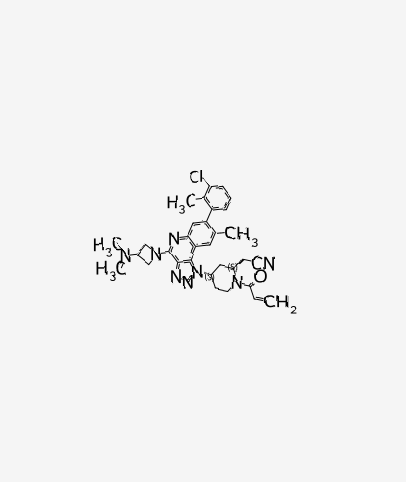 C=CC(=O)N1CC[C@H](n2nnc3c(N4CC(N(C)C)C4)nc4cc(-c5cccc(Cl)c5C)c(C)cc4c32)C[C@H]1CC#N